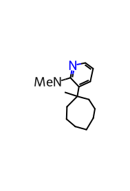 CNc1ncccc1C1(C)CCCCCCC1